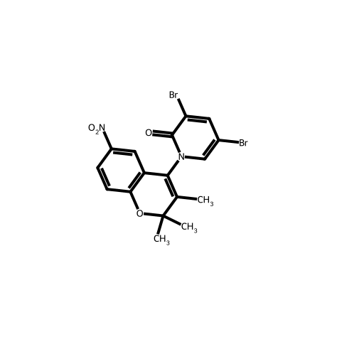 CC1=C(n2cc(Br)cc(Br)c2=O)c2cc([N+](=O)[O-])ccc2OC1(C)C